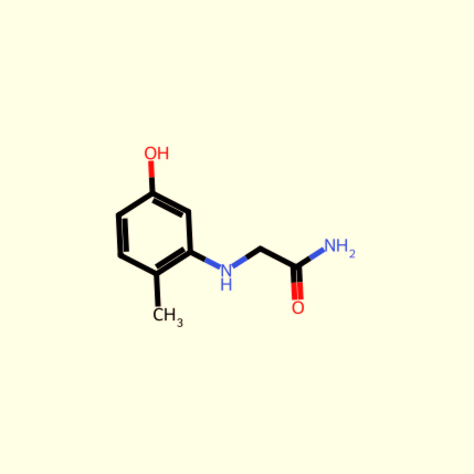 Cc1ccc(O)cc1NCC(N)=O